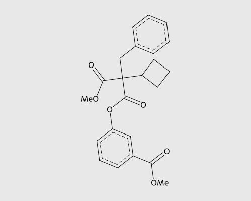 COC(=O)c1cccc(OC(=O)C(Cc2ccccc2)(C(=O)OC)C2CCC2)c1